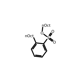 CCCCCCCCOS(=O)(=O)c1ccccc1CCCCCCCC